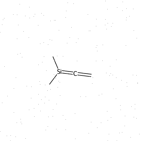 C=C=[Si](C)C